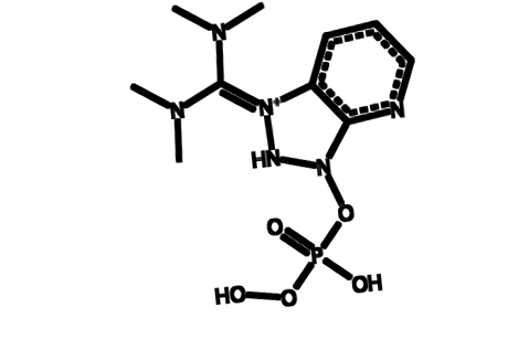 CN(C)C(N(C)C)=[N+]1NN(OP(=O)(O)OO)c2ncccc21